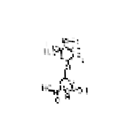 CC1(C)CC(OCC(CON(O)O)ON(O)O)CC(C)(C)N1O